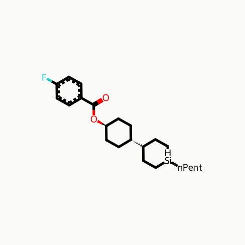 CCCCC[SiH]1CCC([C@H]2CC[C@H](OC(=O)c3ccc(F)cc3)CC2)CC1